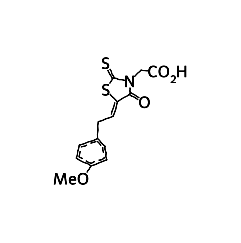 COc1ccc(CC=C2SC(=S)N(CC(=O)O)C2=O)cc1